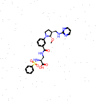 CO[C@H]1[C@H](CNc2ncccn2)CCN1c1cccc(C(=O)NC[C@H](NS(=O)(=O)c2ccccc2)C(=O)O)c1